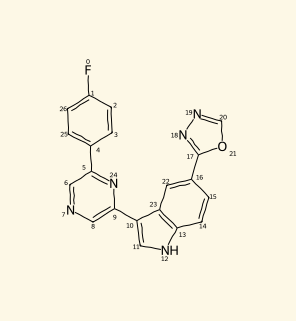 Fc1ccc(-c2cncc(-c3c[nH]c4ccc(-c5nnco5)cc34)n2)cc1